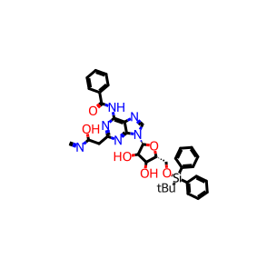 C=NC(O)Cc1nc(NC(=O)c2ccccc2)c2ncn([C@@H]3O[C@H](CO[Si](c4ccccc4)(c4ccccc4)C(C)(C)C)C(O)C3O)c2n1